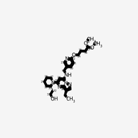 CCc1cnn2c(NCc3ccc(OCCCC(OC)OC)nc3)cc(N3CCCC[C@H]3CCO)nc12